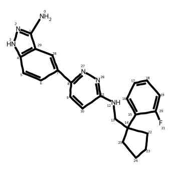 Nc1n[nH]c2ccc(-c3ccc(NCC4(c5ccccc5F)CCCC4)nn3)cc12